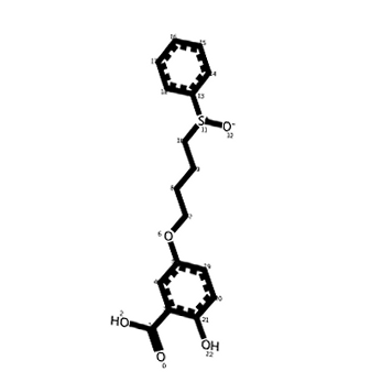 O=C(O)c1cc(OCCCC[S+]([O-])c2ccccc2)ccc1O